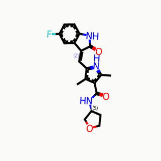 Cc1[nH]c(/C=C2\C(=O)Nc3ccc(F)cc32)c(C)c1C(=O)N[C@H]1CCOC1